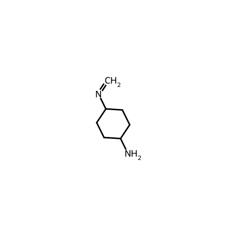 C=NC1CCC(N)CC1